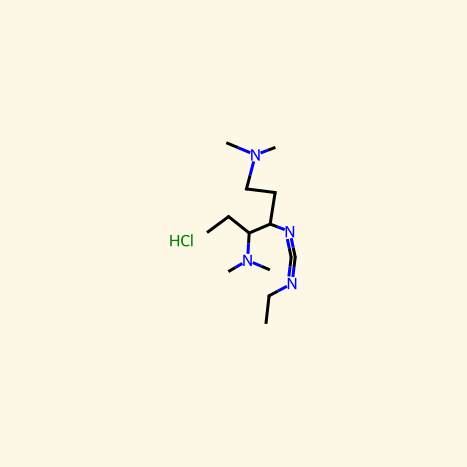 CCN=C=NC(CCN(C)C)C(CC)N(C)C.Cl